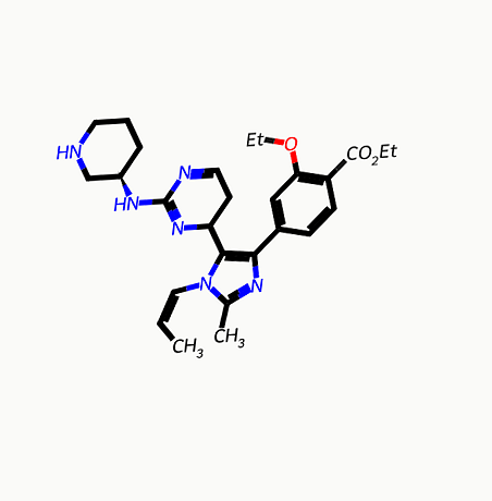 C/C=C\n1c(C)nc(-c2ccc(C(=O)OCC)c(OCC)c2)c1C1CC=NC(N[C@@H]2CCCNC2)=N1